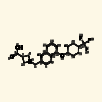 O=C(O)C1CN(Cc2ccc3c(OC4CCC(C(F)(F)F)CC4)cccc3c2)C1